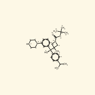 CC(C)c1ccc([C@](O)(c2cccc(N3CCNCC3)c2)C2(C)CN(C(=O)OC(C)(C)C)C2)cc1